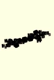 CC[C@H](NC(=O)OC)C(=O)N1CCC[C@H]1c1ncc(-c2ccc(-c3ccc4nc([C@@H]5CCCN5C(=O)[C@H](CC(F)(F)F)NC(=O)OC)[nH]c4c3)cc2)[nH]1